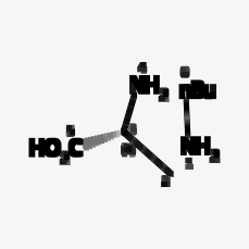 CCCCN.C[C@@H](N)C(=O)O